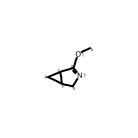 COC1=NCC2CC12